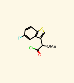 COC(C(=O)Cl)c1csc2ccc(F)cc12